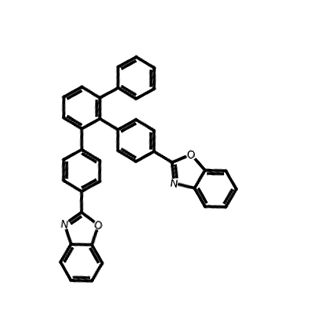 c1ccc(-c2cccc(-c3ccc(-c4nc5ccccc5o4)cc3)c2-c2ccc(-c3nc4ccccc4o3)cc2)cc1